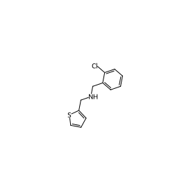 Clc1ccccc1CNCc1cccs1